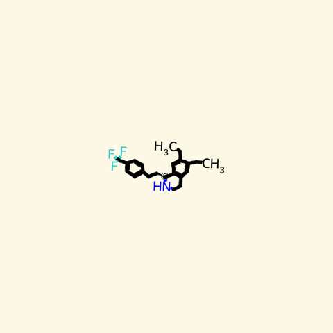 CCc1cc2c(cc1CC)[C@H](CCc1ccc(C(F)(F)F)cc1)NCC2